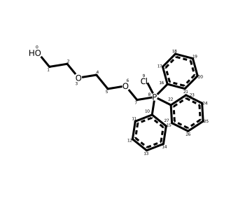 OCCOCCOCP(Cl)(c1ccccc1)(c1ccccc1)c1ccccc1